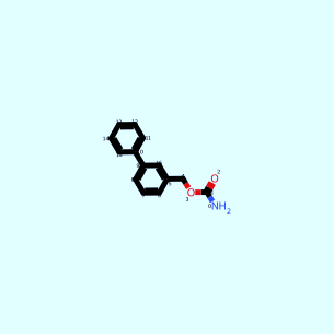 NC(=O)OCc1cccc(-c2ccccc2)c1